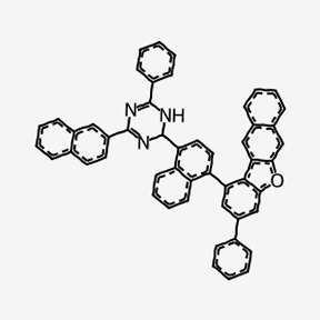 c1ccc(C2=NC(c3ccc4ccccc4c3)=NC(c3ccc(-c4cc(-c5ccccc5)cc5oc6cc7ccccc7cc6c45)c4ccccc34)N2)cc1